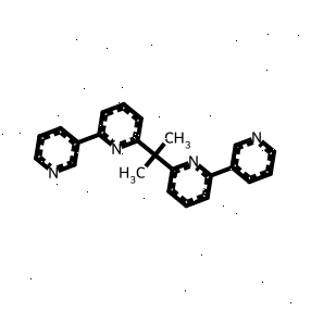 CC(C)(c1cccc(-c2cccnc2)n1)c1cccc(-c2cccnc2)n1